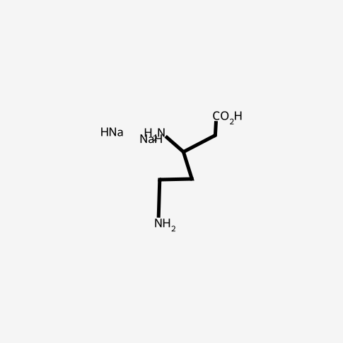 NCCC(N)CC(=O)O.[NaH].[NaH]